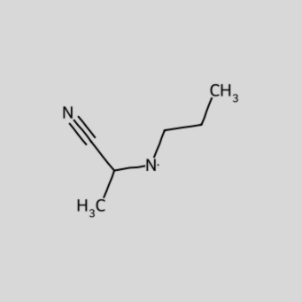 CCC[N]C(C)C#N